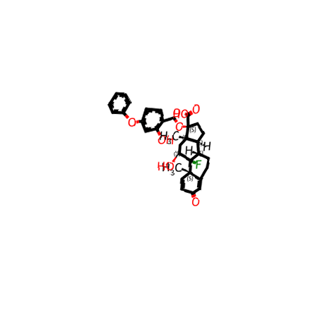 C[C@]12C=CC(=O)C=C1CC[C@H]1[C@@H]3CC[C@@](OC(=O)c4ccc(Oc5ccccc5)cc4O)(C(=O)O)[C@@]3(C)C[C@H](O)C12F